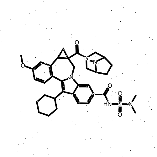 COc1ccc2c(c1)C1CC1(C(=O)N1CC3CCC(C1)N3C)Cn1c-2c(C2CCCCC2)c2ccc(C(=O)NS(=O)(=O)N(C)C)cc21